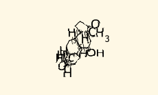 C[C@]12CC[C@H]3O[C@H]3[C@@H]1CC[C@@H]1[C@@H]2[C@@H](O)C[C@]2(C)C(=O)CC[C@@H]12